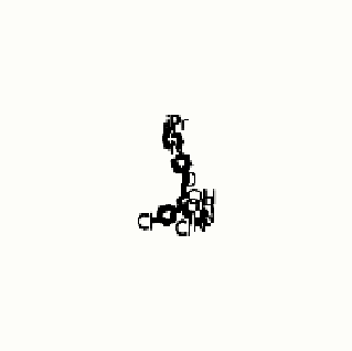 CC(C)N1CCN(c2ccc(OCC(O)CC(O)(Cn3cncn3)c3ccc(Cl)cc3Cl)cc2)CC1